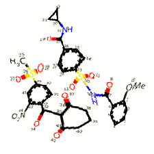 COc1ccccc1C(=O)NS(=O)(=O)c1ccc(C(=O)NC2CC2)cc1.CS(=O)(=O)c1ccc(C(=O)C2C(=O)CCCC2=O)c([N+](=O)[O-])c1